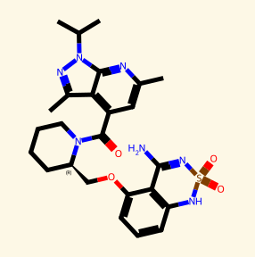 Cc1cc(C(=O)N2CCCC[C@@H]2COc2cccc3c2C(N)=NS(=O)(=O)N3)c2c(C)nn(C(C)C)c2n1